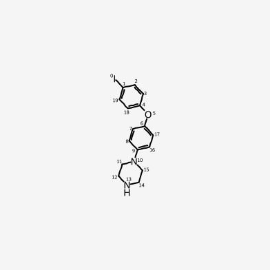 Ic1ccc(Oc2ccc(N3CCNCC3)cc2)cc1